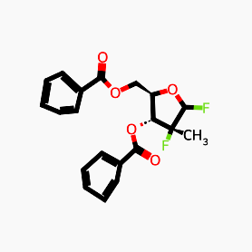 C[C@]1(F)C(F)O[C@H](COC(=O)c2ccccc2)[C@H]1OC(=O)c1ccccc1